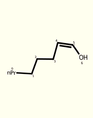 CCCCCC/C=[C]\O